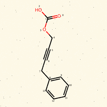 O=C(O)OCC#CCc1ccccc1